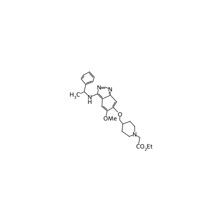 CCOC(=O)CN1CCC(COc2cc3ncnc(NC(C)c4ccccc4)c3cc2OC)CC1